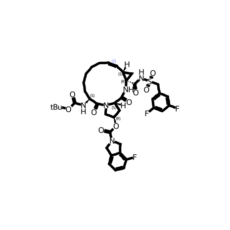 CC(C)(C)OC(=O)N[C@H]1CCCCC/C=C\[C@@H]2C[C@@]2(C(=O)NS(=O)(=O)Cc2cc(F)cc(F)c2)NC(=O)[C@@H]2C[C@@H](OC(=O)N3Cc4cccc(F)c4C3)CN2C1=O